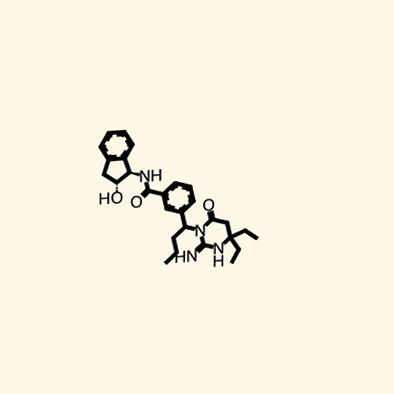 CCCC(c1cccc(C(=O)N[C@@H]2c3ccccc3C[C@H]2O)c1)N1C(=N)NC(CC)(CC)CC1=O